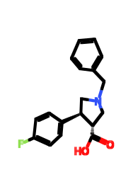 O=C(O)[C@H]1CN(Cc2ccccc2)C[C@@H]1c1ccc(F)cc1